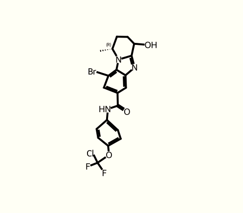 C[C@@H]1CCC(O)c2nc3cc(C(=O)Nc4ccc(OC(F)(F)Cl)cc4)cc(Br)c3n21